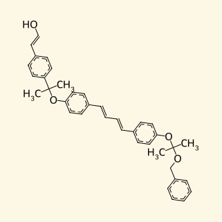 CC(C)(OCc1ccccc1)Oc1ccc(C=CC=Cc2ccc(OC(C)(C)c3ccc(C=CO)cc3)cc2)cc1